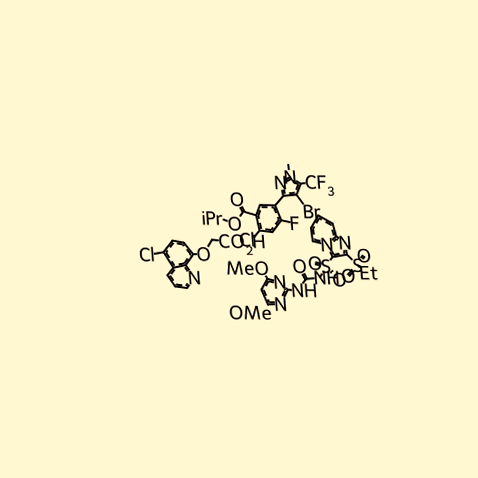 CC(C)OC(=O)c1cc(-c2nn(C)c(C(F)(F)F)c2Br)c(F)cc1Cl.CCS(=O)(=O)c1nc2ccccn2c1S(=O)(=O)NC(=O)Nc1nc(OC)cc(OC)n1.O=C(O)COc1ccc(Cl)c2cccnc12